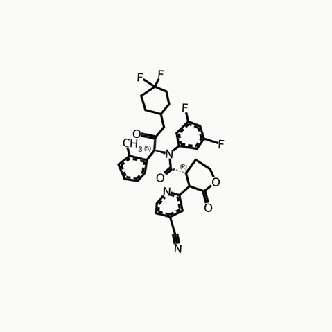 Cc1ccccc1[C@@H](C(=O)CC1CCC(F)(F)CC1)N(C(=O)[C@@H]1CCOC(=O)C1c1cc(C#N)ccn1)c1cc(F)cc(F)c1